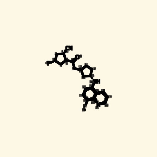 N#C[C@@H]1C[C@H](F)CN1C(=O)CN1CC[C@H](Nc2ccc(F)c3ncccc23)C1